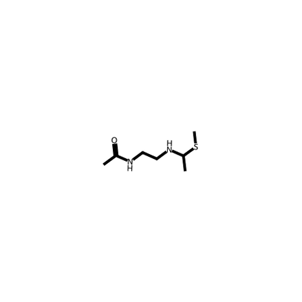 CSC(C)NCCNC(C)=O